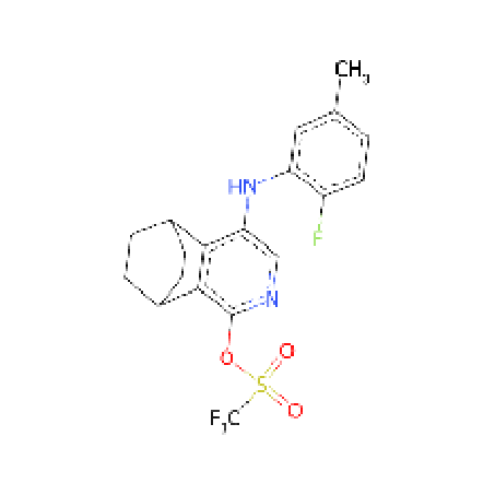 Cc1ccc(F)c(Nc2cnc(OS(=O)(=O)C(F)(F)F)c3c2C2CCC3CC2)c1